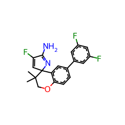 CC1(C)COc2ccc(-c3cc(F)cc(F)c3)cc2C12C=C(F)C(N)=N2